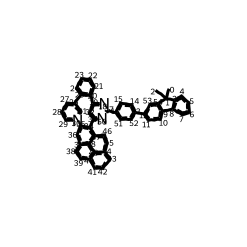 CC1(C)c2ccccc2-c2ccc(-c3ccc(-c4nc(-c5ccccc5-c5cccnc5)cc(-c5ccc6ccc7cccc8ccc5c6c78)n4)cc3)cc21